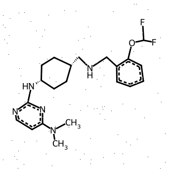 CN(C)c1ccnc(N[C@H]2CC[C@@H](CNCc3ccccc3OC(F)F)CC2)n1